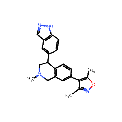 Cc1noc(C)c1-c1ccc2c(c1)CN(C)CC2c1ccc2[nH]ncc2c1